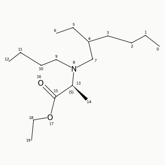 CCCCC(CC)CN(CCCC)[C@@H](C)C(=O)OCC